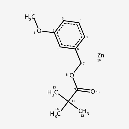 COc1cccc(COC(=O)C(C)(C)C)c1.[Zn]